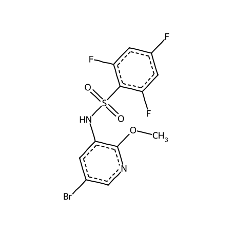 COc1ncc(Br)cc1NS(=O)(=O)c1c(F)cc(F)cc1F